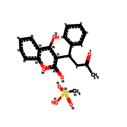 CC(=O)CC(c1ccccc1)c1c(O)c2ccccc2oc1=O.CS(=O)(=O)O